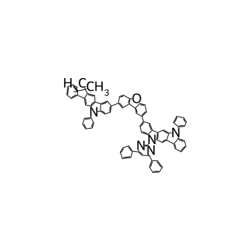 CC1(C)c2ccccc2-c2cc3c(cc21)c1cc(-c2ccc4oc5ccc(-c6ccc7c(c6)c6cc8c(cc6n7-c6nc(-c7ccccc7)cc(-c7ccccc7)n6)c6ccccc6n8-c6ccccc6)cc5c4c2)ccc1n3-c1ccccc1